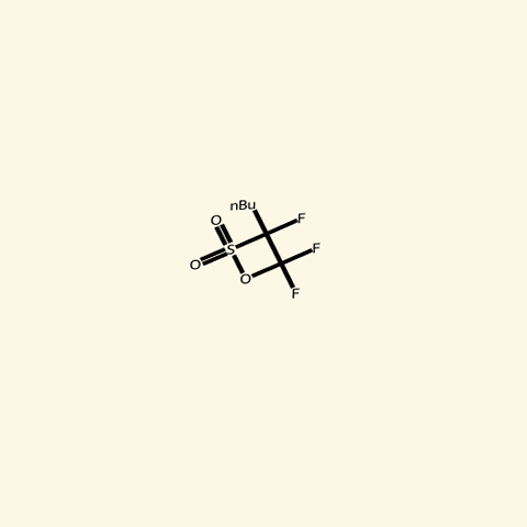 CCCCC1(F)C(F)(F)OS1(=O)=O